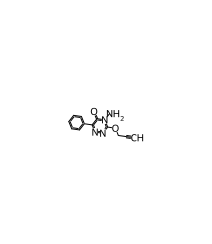 C#CCOc1nnc(-c2ccccc2)c(=O)n1N